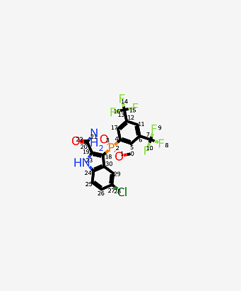 COP(=O)(c1cc(C(F)(F)F)cc(C(F)(F)F)c1)c1c(C(N)=O)[nH]c2ccc(Cl)cc12